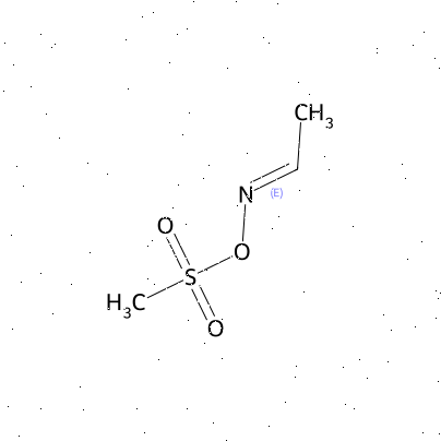 C/C=N/OS(C)(=O)=O